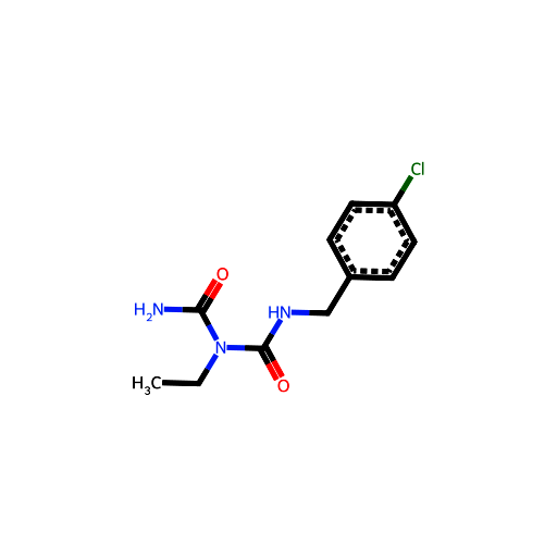 CCN(C(N)=O)C(=O)NCc1ccc(Cl)cc1